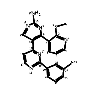 CSc1ncccc1-c1nc(N)ncc1-c1ccnc(-c2cccc(F)c2)n1